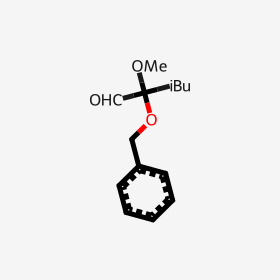 CCC(C)C(C=O)(OC)OCc1ccccc1